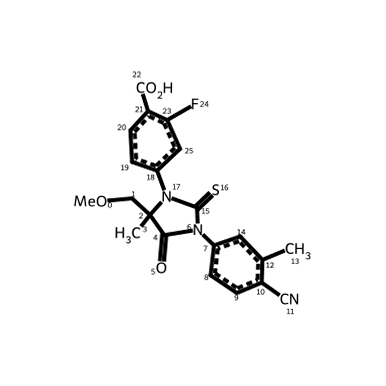 COCC1(C)C(=O)N(c2ccc(C#N)c(C)c2)C(=S)N1c1ccc(C(=O)O)c(F)c1